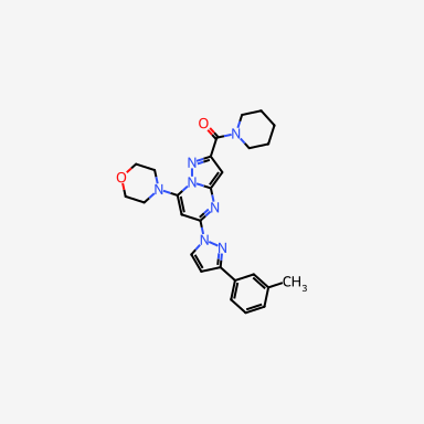 Cc1cccc(-c2ccn(-c3cc(N4CCOCC4)n4nc(C(=O)N5CCCCC5)cc4n3)n2)c1